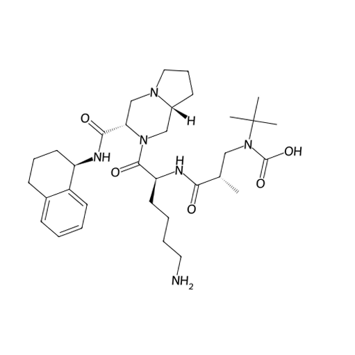 C[C@@H](CN(C(=O)O)C(C)(C)C)C(=O)N[C@@H](CCCCN)C(=O)N1C[C@H]2CCCN2C[C@H]1C(=O)N[C@@H]1CCCc2ccccc21